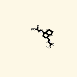 O=C(O)/C=C/c1ccc(/C=C/C(=O)O)c2ccccc12